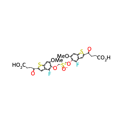 COc1cc2sc(C(=O)CCC(=O)O)cc2c(F)c1OC[S+]([O-])COc1c(OC)cc2sc(C(=O)CCC(=O)O)cc2c1F